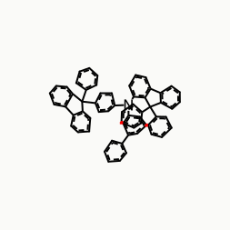 c1ccc(-c2cccc(N(c3ccc(C4(c5ccccc5)c5ccccc5-c5ccccc54)cc3)c3cccc4c3C(c3ccccc3)(c3ccccc3)c3ccccc3-4)c2)cc1